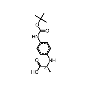 C[C@H](Nc1ccc(NC(=O)OC(C)(C)C)cc1)C(=O)O